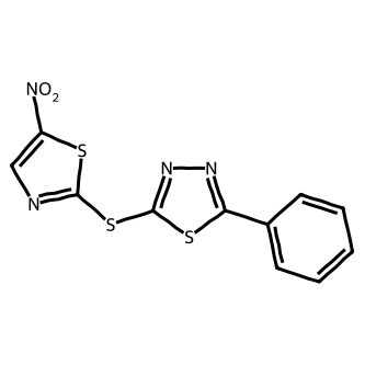 O=[N+]([O-])c1cnc(Sc2nnc(-c3ccccc3)s2)s1